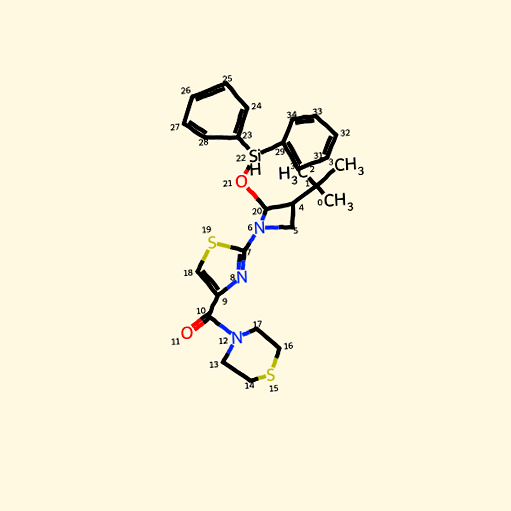 CC(C)(C)C1CN(c2nc(C(=O)N3CCSCC3)cs2)C1O[SiH](c1ccccc1)c1ccccc1